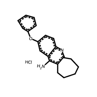 Cl.Nc1c2c(nc3ccc(Oc4ccccc4)cc13)CCCCC2